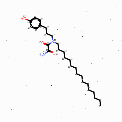 CCCCCCCCCCCCCCCCN(CCCc1ccc(O)cc1)C(=O)C(N)=O